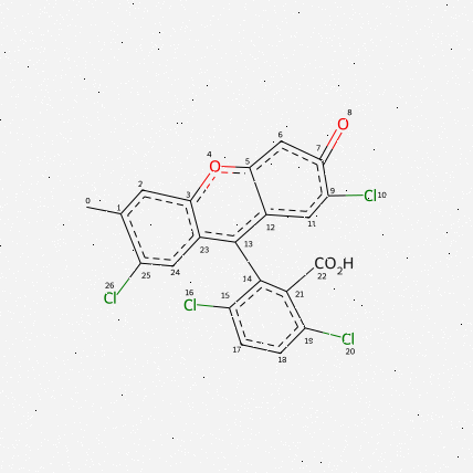 Cc1cc2oc3cc(=O)c(Cl)cc-3c(-c3c(Cl)ccc(Cl)c3C(=O)O)c2cc1Cl